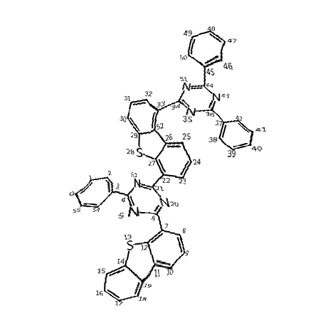 c1ccc(-c2nc(-c3cccc4c3sc3ccccc34)nc(-c3cccc4c3sc3cccc(-c5nc(-c6ccccc6)nc(-c6ccccc6)n5)c34)n2)cc1